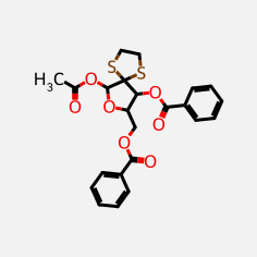 CC(=O)OC1OC(COC(=O)c2ccccc2)C(OC(=O)c2ccccc2)C12SCCS2